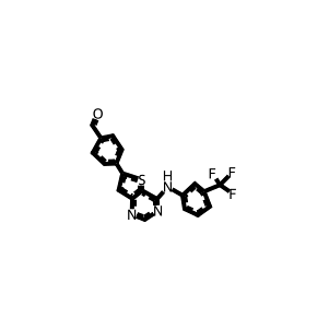 O=Cc1ccc(-c2cc3ncnc(Nc4cccc(C(F)(F)F)c4)c3s2)cc1